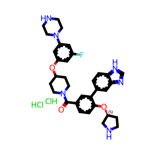 Cl.Cl.O=C(c1ccc(O[C@H]2CCNC2)c(-c2ccc3[nH]cnc3c2)c1)N1CCC(Oc2cc(F)cc(N3CCNCC3)c2)CC1